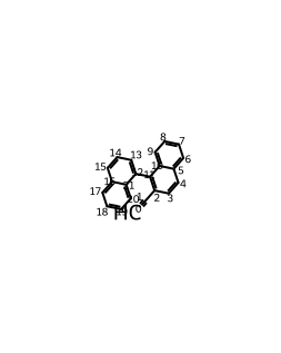 C#Cc1ccc2ccccc2c1-c1cccc2ccccc12